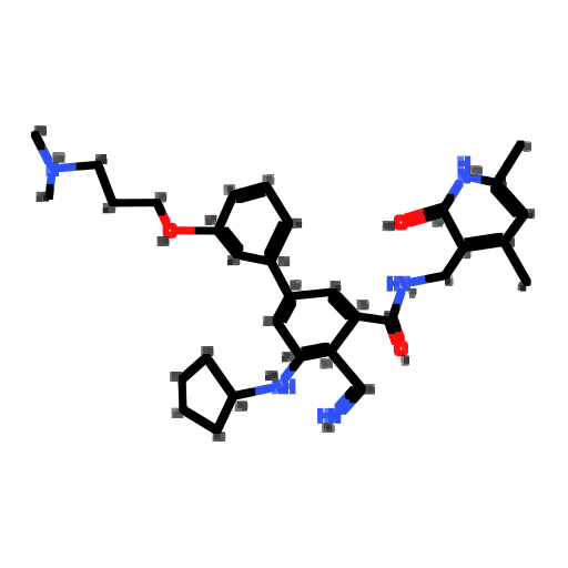 Cc1cc(C)c(CNC(=O)c2cc(-c3cccc(OCCCN(C)C)c3)cc(NC3CCCC3)c2C=N)c(=O)[nH]1